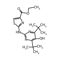 CCOC(=O)c1csc(Nc2nc(C(C)(C)C)c(O)c(C(C)(C)C)n2)n1